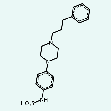 O=S(=O)(O)Nc1ccc(N2CCN(CCCc3ccccc3)CC2)cc1